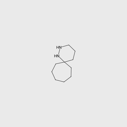 C1CCCC2(CC1)CCCNN2